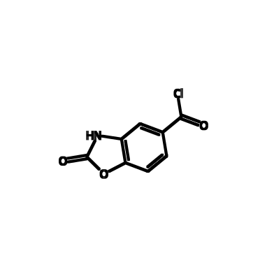 O=C(Cl)c1ccc2oc(=O)[nH]c2c1